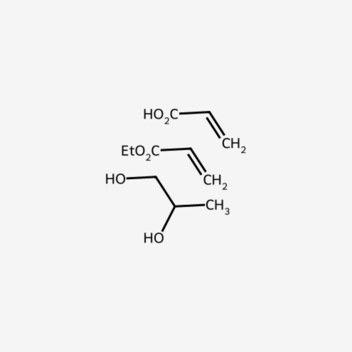 C=CC(=O)O.C=CC(=O)OCC.CC(O)CO